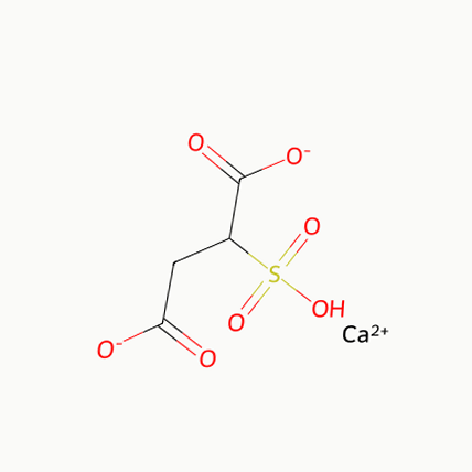 O=C([O-])CC(C(=O)[O-])S(=O)(=O)O.[Ca+2]